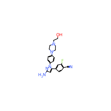 N#Cc1ccc(-c2cc(N)nn2-c2ccc(N3CCN(CCO)CC3)cc2)cc1F